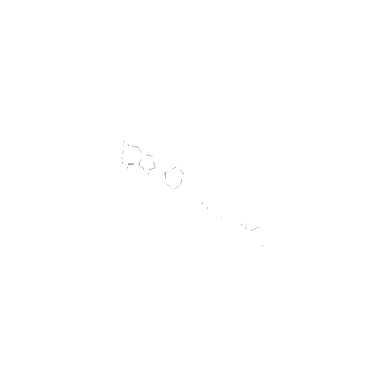 CC(C)(C)OC(=O)N1CCC2(CCN(CCc3ccc(-c4cc5c(Cl)ncnc5[nH]4)cc3)CC2)CC1